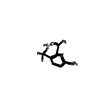 CC(C)c1nc(N)ccc1C(F)(F)F